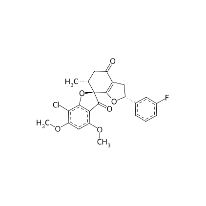 COc1cc(OC)c2c(c1Cl)O[C@]1(C2=O)C2=C(C[C@H](c3cccc(F)c3)O2)C(=O)C[C@H]1C